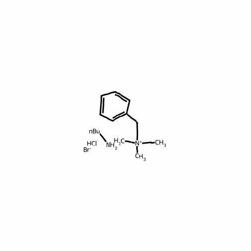 CCCCN.C[N+](C)(C)Cc1ccccc1.Cl.[Br-]